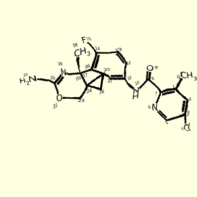 Cc1cc(Cl)cnc1C(=O)Nc1ccc(F)c([C@@]2(C)N=C(N)OCC23CC3)c1